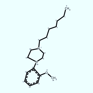 CCCCCCCN1CCN(c2ccccc2OC)CC1